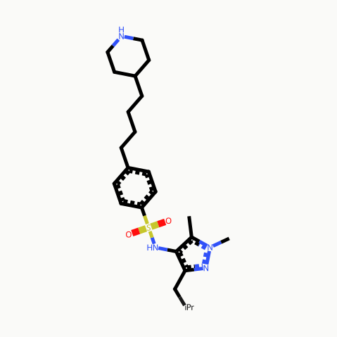 Cc1c(NS(=O)(=O)c2ccc(CCCCC3CCNCC3)cc2)c(CC(C)C)nn1C